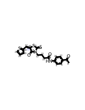 CC(=O)c1ccc(NC(=O)CCCN2C(=O)/C(=C\c3cccs3)SC2=S)cc1